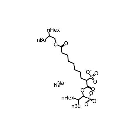 CCCCCCC(CCCC)COC(=O)CCCCCCCC(C(=O)OC(C(CCCC)CCCCCC)S(=O)(=O)[O-])S(=O)(=O)[O-].[Na+].[Na+]